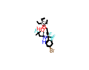 CC[Si](CC)(CC)OCC#C[C@](N[C@H](CO)CC(C)(C)F)(c1ccc(Br)cc1)C(F)(F)F